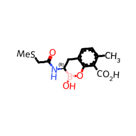 CSCC(=O)N[C@H]1Cc2ccc(C)c(C(=O)O)c2OB1O